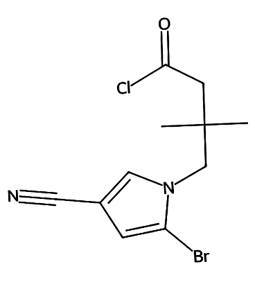 CC(C)(CC(=O)Cl)Cn1cc(C#N)cc1Br